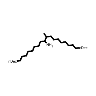 CCCCCCCCCCCCCCCCCCC(C)C(N)CCCCCCCCCCCCCCCCCC